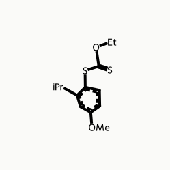 CCOC(=S)Sc1ccc(OC)cc1C(C)C